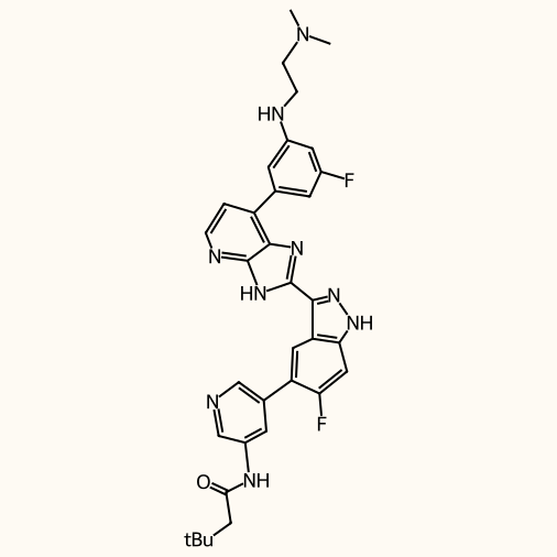 CN(C)CCNc1cc(F)cc(-c2ccnc3[nH]c(-c4n[nH]c5cc(F)c(-c6cncc(NC(=O)CC(C)(C)C)c6)cc45)nc23)c1